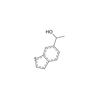 CC(O)c1ccc2ccsc2c1